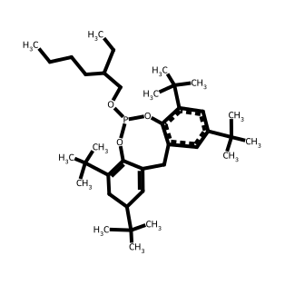 CCCCC(CC)COP1OC2=C(C(C)(C)C)CC(C(C)(C)C)C=C2Cc2cc(C(C)(C)C)cc(C(C)(C)C)c2O1